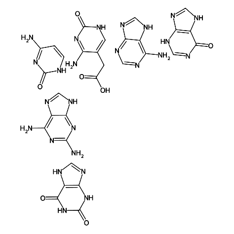 Nc1cc[nH]c(=O)n1.Nc1nc(=O)[nH]cc1CC(=O)O.Nc1nc(N)c2nc[nH]c2n1.Nc1ncnc2nc[nH]c12.O=c1[nH]c(=O)c2[nH]cnc2[nH]1.O=c1nc[nH]c2nc[nH]c12